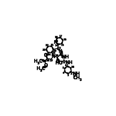 CNc1cccc(NC(O)N[C@@H]2N=C(c3ccccn3)c3ccccc3N(CC(=O)[C@@H](C)OC)C2=O)c1